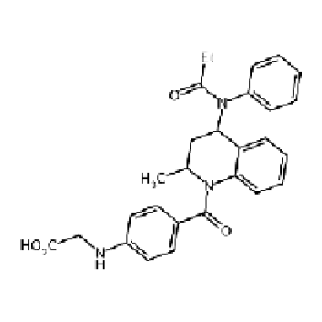 CCC(=O)N(c1ccccc1)C1CC(C)N(C(=O)c2ccc(NCC(=O)O)cc2)c2ccccc21